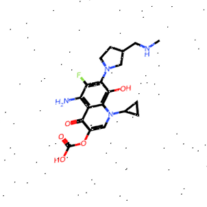 CNCC1CCN(c2c(F)c(N)c3c(=O)c(OC(=O)O)cn(C4CC4)c3c2O)C1